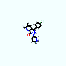 Cc1cc2c(-c3ccc(Cl)cc3)nn(-c3ccc(F)nc3)c(=O)c2nc1C